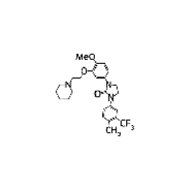 COc1ccc(N2CCN(c3ccc(C)c(C(F)(F)F)c3)C2=O)cc1OCCN1CCCCC1